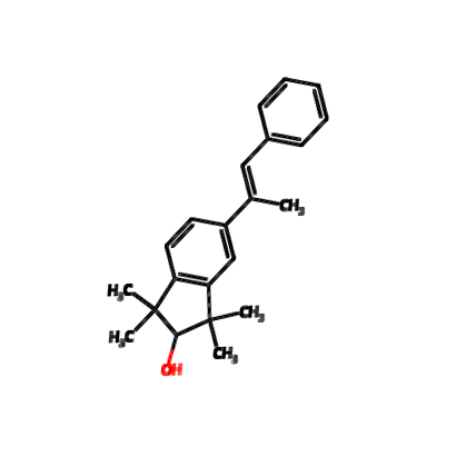 C/C(=C\c1ccccc1)c1ccc2c(c1)C(C)(C)C(O)C2(C)C